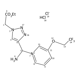 CCOC(=O)Cn1cc(C(N)[n+]2cccc(OCC(F)(F)F)c2)nn1.Cl.[Cl-]